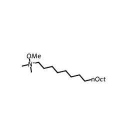 CCCCCCCCCCCCCCCC[N+](C)(C)OC